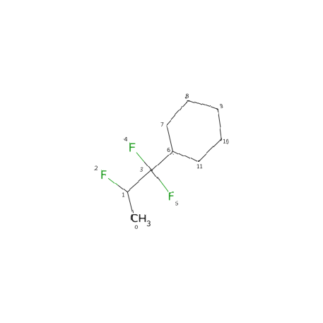 CC(F)C(F)(F)[C]1CCCCC1